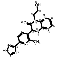 Cc1nc(-c2nc[nH]n2)ccc1C1Nc2nccnc2N(CCO)C1=O